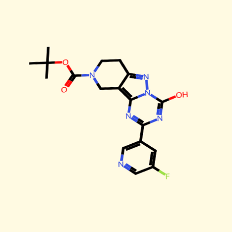 CC(C)(C)OC(=O)N1CCc2nn3c(O)nc(-c4cncc(F)c4)nc3c2C1